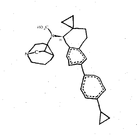 O=C(O)N(C1CN2CCC1CC2)[C@@H]1c2ccc(-c3ccc(C4CC4)cc3)cc2CCC12CC2